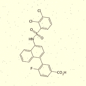 O=C(O)c1ccc(F)c(-c2ccc(NS(=O)(=O)c3cccc(Cl)c3Cl)c3ccccc23)c1